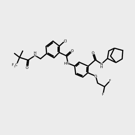 CC(C)(C(=O)NCc1ccc(Cl)c(C(=O)Nc2ccc(OCC(F)F)c(C(=O)NC3CC4CCC3C4)c2)c1)C(F)(F)F